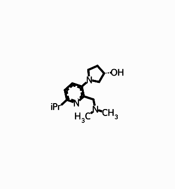 CC(C)c1ccc(N2CC[C@H](O)C2)c(CN(C)C)n1